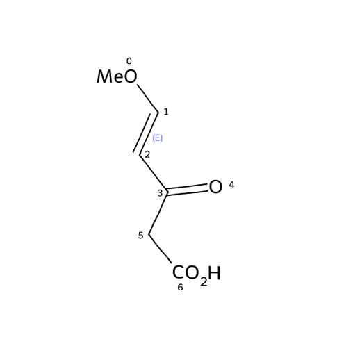 CO/C=C/C(=O)CC(=O)O